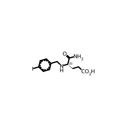 NC(=O)[C@H](CCC(=O)O)NCc1ccc(I)cc1